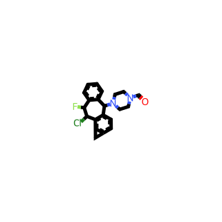 O=CN1CCN(C2c3ccccc3C(F)C(Cl)c3c2ccc2c3C2)CC1